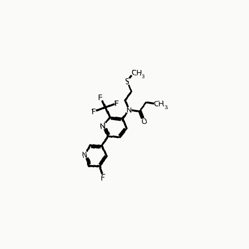 CCC(=O)N(CCSC)c1ccc(-c2cncc(F)c2)nc1C(F)(F)F